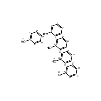 Oc1ccccc1.Oc1ccccc1.Oc1ccccc1.Oc1ccccc1.Oc1ccccc1